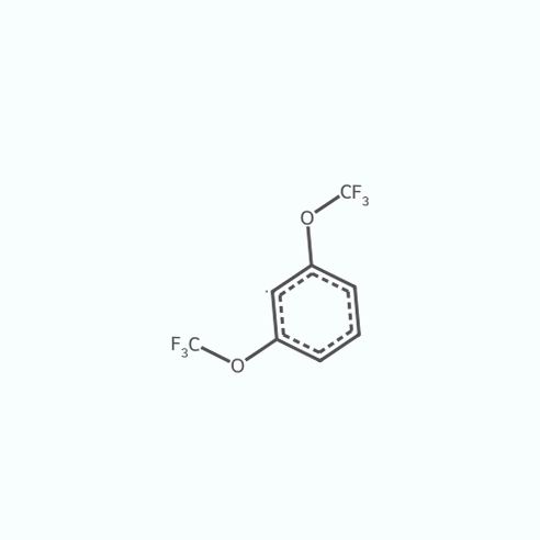 FC(F)(F)Oc1[c]c(OC(F)(F)F)ccc1